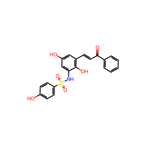 O=C(C=Cc1cc(O)cc(NS(=O)(=O)c2ccc(O)cc2)c1O)c1ccccc1